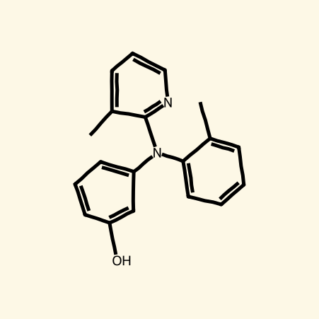 Cc1ccccc1N(c1cccc(O)c1)c1ncccc1C